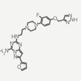 Nc1nc(NCCN2CCN(c3ccc(OCc4cn[nH]n4)cc3F)CC2)nc2cc(-c3ccco3)nn12